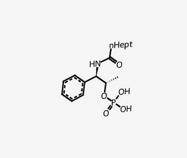 CCCCCCCC(=O)N[C@H](c1ccccc1)[C@H](C)OP(=O)(O)O